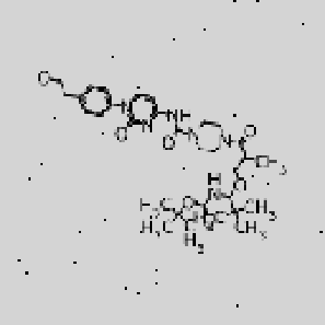 CC(COC(NC(=O)OC(C)(C)C)C(C)(C)C)C(=O)N1CCN(C(=O)Nc2ccn(-c3ccc(CC=O)cc3)c(=O)n2)CC1